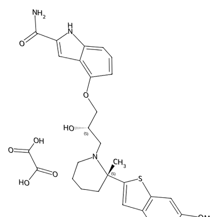 COc1ccc2cc([C@]3(C)CCCCN3C[C@H](O)COc3cccc4[nH]c(C(N)=O)cc34)sc2c1.O=C(O)C(=O)O